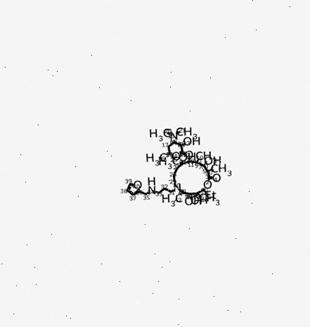 CC[C@H]1OC(=O)[C@H](C)[C@@H](O)[C@H](C)[C@@H](O[C@@H]2O[C@H](C)C[C@H](N(C)C)[C@H]2O)C(C)(O)CCCN(CCCNCc2ccco2)[C@H](C)[C@@H](O)[C@]1(C)O